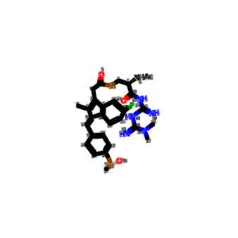 CC(=O)N[C@H](CSC(=O)CC1=C(C)/C(=C/c2ccc([S+](C)[O-])cc2)c2ccc(F)cc21)C(=O)NC(=N)NC(=N)N(C)C